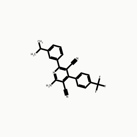 CC(C)c1cccc(-c2nc(N)c(C#N)c(-c3ccc(C(F)(F)F)cc3)c2C#N)c1